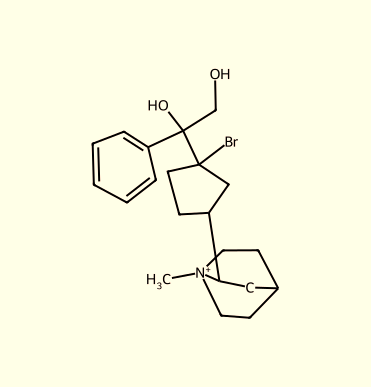 C[N+]12CCC(CC1)CC2C1CCC(Br)(C(O)(CO)c2ccccc2)C1